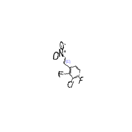 O=[N+]([O-])/C=C/c1ccc(F)c(Cl)c1F